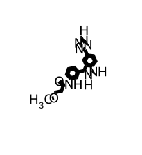 COCCC(=O)Nc1cccc(C2NNc3ccc(-c4nn[nH]n4)cc32)c1